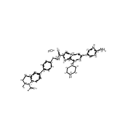 CC(=O)N1c2ccc(-c3ccc(CNC(=O)c4cn5cc(-c6cnc(N)nc6)nc(N6CCNCC6)c5n4)cc3)cc2CC[C@@H]1C.Cl